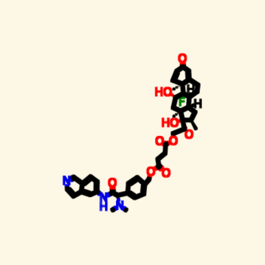 C[C@@H]1C[C@H]2[C@@H]3CCC4=CC(=O)C=C[C@]4(C)[C@@]3(F)[C@@H](O)C[C@]2(C)[C@@]1(O)C(=O)COC(=O)CCC(=O)OCc1ccc([C@H](C(=O)Nc2ccc3cnccc3c2)N(C)C)cc1